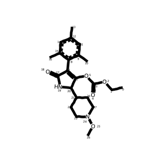 CCOC(=O)OC1=C(c2c(C)cc(C)cc2C)C(=O)NC1C1CCN(OC)CC1